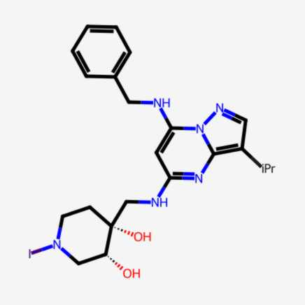 CC(C)c1cnn2c(NCc3ccccc3)cc(NC[C@]3(O)CCN(I)C[C@H]3O)nc12